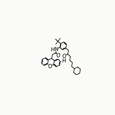 CC(C)(C)c1ccc(CC(O)CCCCC2CCCCC2)cc1NC(=O)CC1c2ccccc2Oc2ccccc21